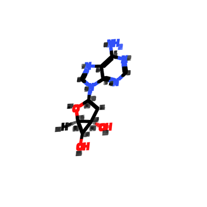 Nc1ncnc2c1ncn2[C@H]1C[C@@]2(O)C(O)[C@H]2O1